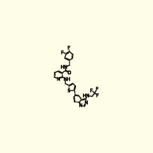 O=C(NCc1ccc(F)c(F)c1)c1cccnc1NCc1ccc(-c2ccc3ncnc(NCC(F)(F)F)c3c2)s1